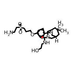 CC1(C)CC2CN(C(=O)NCCO)C[C@H](CN2c2ccc(OCCCS(=O)(=O)CCN)cc2)C1